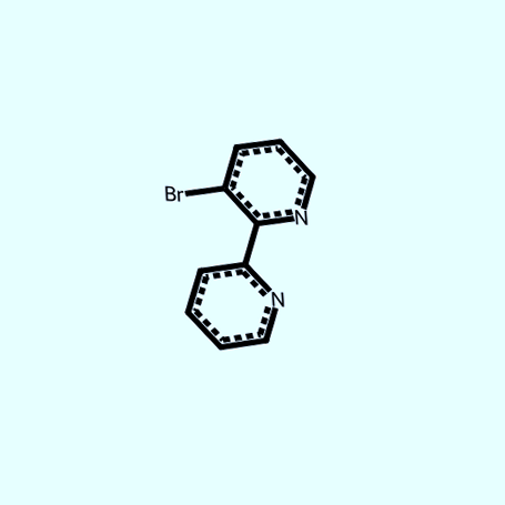 Brc1cccnc1-c1ccccn1